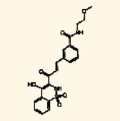 COCCNC(=O)c1cccc(C=CC(=O)C2=C(O)c3ccccc3S(=O)(=O)N2)c1